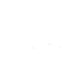 Cl.Cl.NN1C=Nc2cc(F)ccc2C1